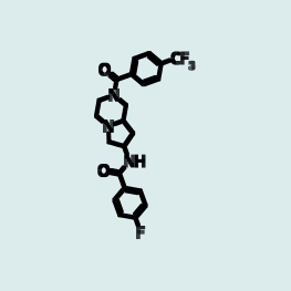 O=C(NC1CC2CN(C(=O)c3ccc(C(F)(F)F)cc3)CCN2C1)c1ccc(F)cc1